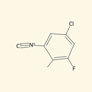 [C-]#[N+]c1cc(Cl)cc(F)c1C